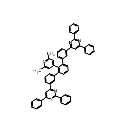 Cc1cc(-c2c(-c3cccc(-c4cc(-c5ccccc5)nc(-c5ccccc5)n4)c3)cccc2-c2cccc(-c3cc(-c4ccccc4)nc(-c4ccccc4)n3)c2)cc(C)n1